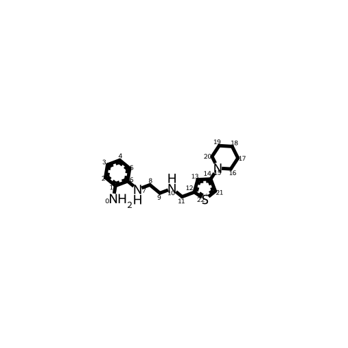 Nc1ccccc1NCCNCc1cc(N2CCCCC2)cs1